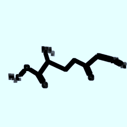 COC(=O)C(N)CCC(=O)C=[N+]=[N-]